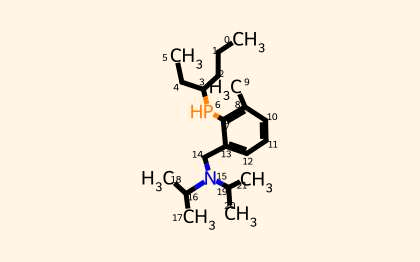 CCCC(CC)Pc1c(C)cccc1CN(C(C)C)C(C)C